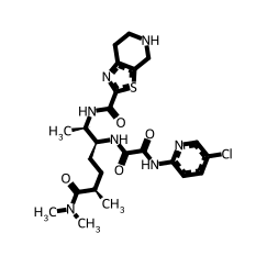 C[C@H](CC[C@H](NC(=O)C(=O)Nc1ccc(Cl)cn1)[C@@H](C)NC(=O)c1nc2c(s1)CNCC2)C(=O)N(C)C